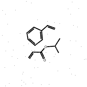 C=CC(=O)OC(C)C.C=Cc1ccccc1